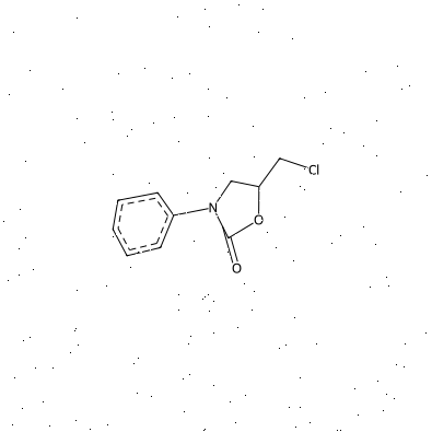 O=C1OC(CCl)CN1c1ccccc1